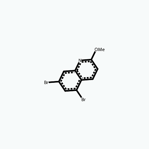 COc1ccc2c(Br)cc(Br)cc2n1